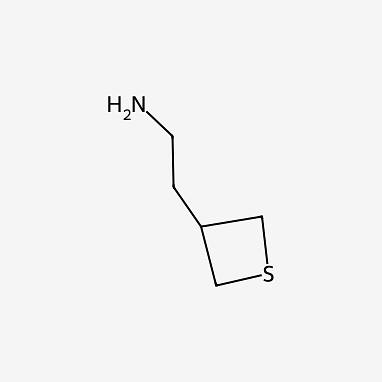 NCCC1CSC1